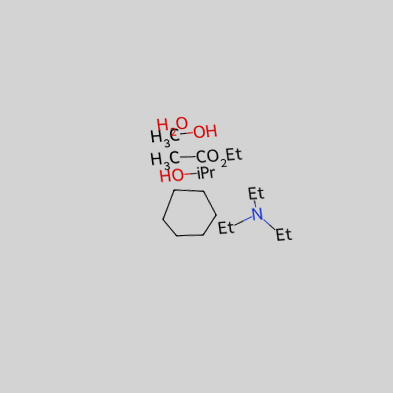 C1CCCCC1.CC(C)O.CCN(CC)CC.CCOC(C)=O.CO.O